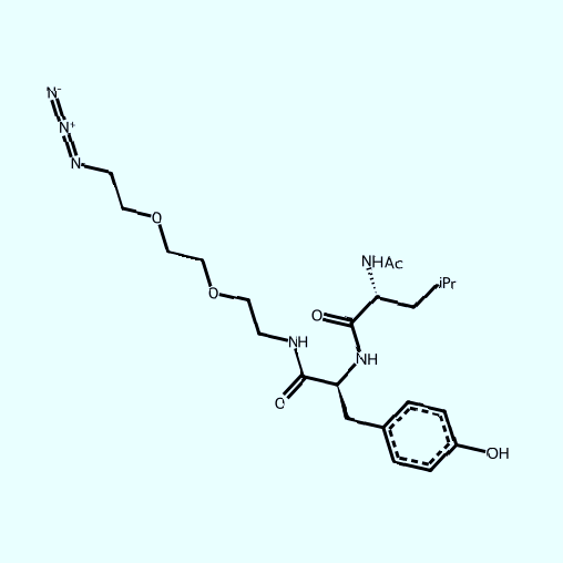 CC(=O)N[C@H](CC(C)C)C(=O)N[C@@H](Cc1ccc(O)cc1)C(=O)NCCOCCOCCN=[N+]=[N-]